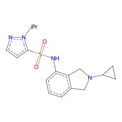 CC(C)n1nccc1S(=O)(=O)Nc1cccc2c1CN(C1CC1)C2